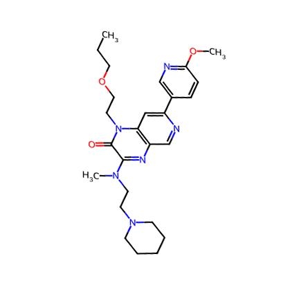 CCCOCCn1c(=O)c(N(C)CCN2CCCCC2)nc2cnc(-c3ccc(OC)nc3)cc21